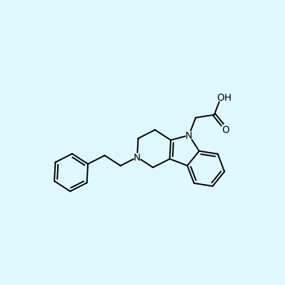 O=C(O)Cn1c2c(c3ccccc31)CN(CCc1ccccc1)CC2